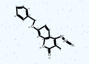 Cc1c(N=[N+]=[N-])c2ccc(OCc3ccccc3)cc2oc1=O